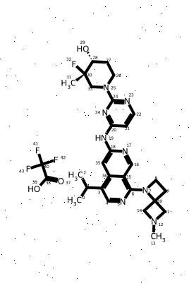 CC(C)c1cnc(N2CCC23CN(C)C3)c2cnc(Nc3ccnc(N4CC[C@@H](O)[C@@](C)(F)C4)n3)cc12.O=C(O)C(F)(F)F